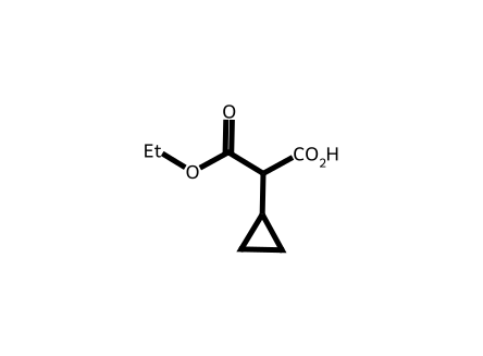 CCOC(=O)C(C(=O)O)C1CC1